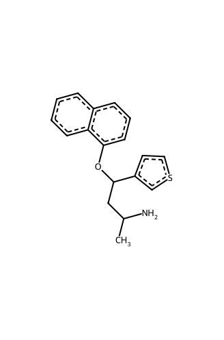 CC(N)CC(Oc1cccc2ccccc12)c1ccsc1